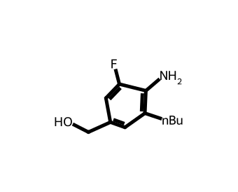 CCCCc1cc(CO)cc(F)c1N